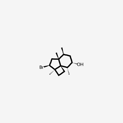 C[C@H]1[C@@H](O)C[C@H](C)[C@@]2(C)C[C@H](Br)[C@]3(C)CC[C@@]132